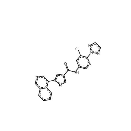 O=C(Nc1cnc(-n2nccn2)c(Cl)c1)c1cnn(-c2cncc3ccccc23)c1